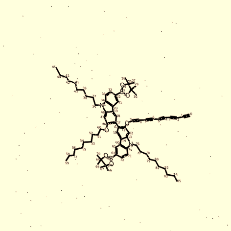 C#CC#CC#CC#CC#COc1cc2c(cc1-c1cc3c4cc(B5OC(C)(C)C(C)(C)O5)ccc4n(CCCCCCCCCC)c3cc1OCCCCCCCCCC)c1cc(B3OC(C)(C)C(C)(C)O3)ccc1n2CCCCCCCCCC